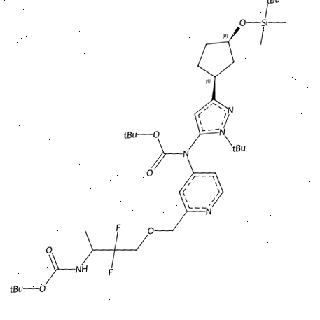 CC(NC(=O)OC(C)(C)C)C(F)(F)COCc1cc(N(C(=O)OC(C)(C)C)c2cc([C@H]3CC[C@@H](O[Si](C)(C)C(C)(C)C)C3)nn2C(C)(C)C)ccn1